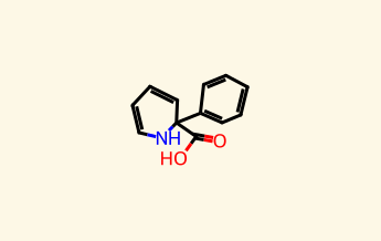 O=C(O)C1(c2ccccc2)C=CC=CN1